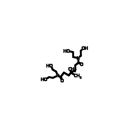 CC(C)(CCC(=O)N(CCO)CCO)CCC(=O)N(CCO)CCO